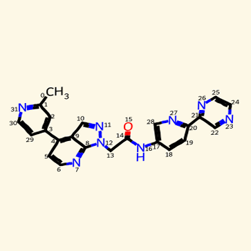 Cc1cc(-c2ccnc3c2cnn3CC(=O)Nc2ccc(-c3cnccn3)nc2)ccn1